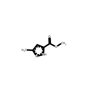 COC(=O)c1cc(C)n[nH]1